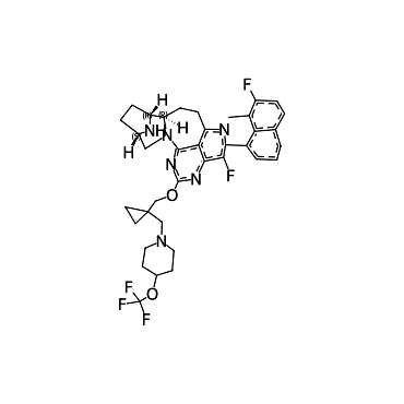 Cc1c(F)ccc2cccc(-c3nc4c5c(nc(OCC6(CN7CCC(OC(F)(F)F)CC7)CC6)nc5c3F)N3C[C@@H]5CC[C@@H](N5)[C@H]3CC4)c12